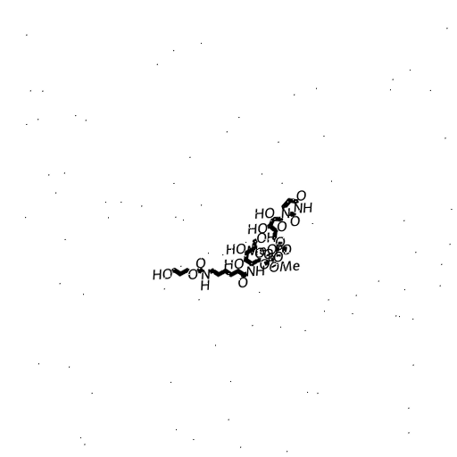 COP(=O)(OCC1OC(n2ccc(=O)[nH]c2=O)C(O)C1O)OP(=O)(OC)O[C@H]1OC(CO)[C@@H](O)[C@H](O)C1NC(=O)CCCCCNC(=O)OCCCO